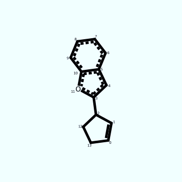 C1=CC(c2cc3ccccc3o2)CC1